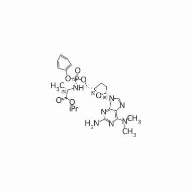 CC(C)OC(=O)[C@H](C)N[P@](=O)(OC[C@@H]1CC[C@H](n2cnc3c(N(C)C)nc(N)nc32)O1)Oc1ccccc1